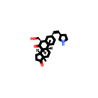 C[C@]12CC[C@@H](/C=C\[C@H]3CCNC3)CC1[C@@H](CO)C(=O)[C@@H]1[C@@H]2CC[C@]2(C)C(=O)CC[C@@H]12